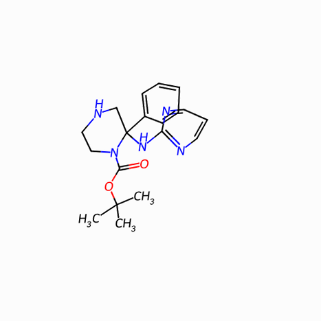 CC(C)(C)OC(=O)N1CCNCC1(Nc1ncccn1)c1ccccc1